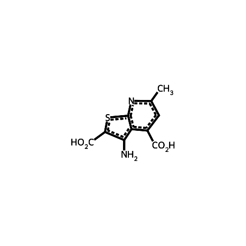 Cc1cc(C(=O)O)c2c(N)c(C(=O)O)sc2n1